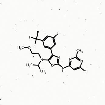 COCCN(c1sc(Nc2cc(Cl)nc(C)n2)nc1-c1cc(F)cc(C(F)(F)F)c1)C(C)C